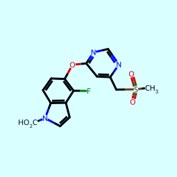 CS(=O)(=O)Cc1cc(Oc2ccc3c(ccn3C(=O)O)c2F)ncn1